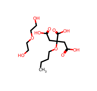 CCCCOC(CC(=O)O)(CC(=O)O)C(=O)O.OCCOCCO